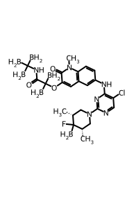 BC(B)(B)NC(=O)C(B)(B)Oc1cc2cc(Nc3nc(N4C[C@@H](C)C(B)(F)[C@@H](C)C4)ncc3Cl)ccc2n(C)c1=O